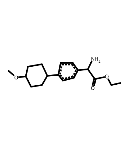 CCOC(=O)C(N)c1ccc(C2CCC(OC)CC2)cc1